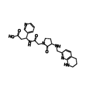 O=C(O)CC(NC(=O)CN1CCC(NCc2ccc3c(n2)NCCC3)C1=O)c1cccnc1